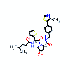 Cc1ncsc1-c1ccc(CNC(=O)[C@@H]2C[C@@H](O)CN2C(=O)[C@@H](NC(O)CCC(C)C)c2cccs2)cc1